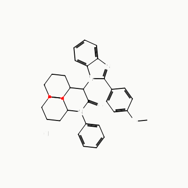 COc1ccc(-c2nc3ccccc3n2C(C(=O)N(c2ccccc2)C2CCCCC2)C2CCCCC2)cc1.[Cl-].[H+]